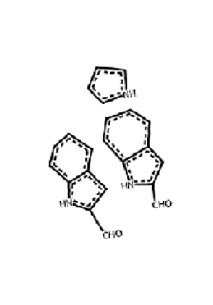 O=Cc1cc2ccccc2[nH]1.O=Cc1cc2ccccc2[nH]1.c1cc[nH]c1